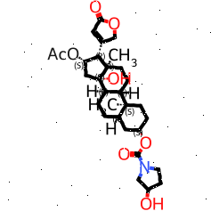 CC(=O)O[C@H]1C[C@]2(O)[C@@H]3CC[C@@H]4C[C@@H](OC(=O)N5CCC(O)C5)CC[C@]4(C)[C@H]3CC[C@]2(C)[C@H]1C1=CC(=O)OC1